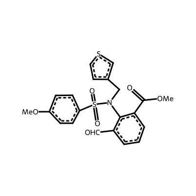 COC(=O)c1cccc(C=O)c1N(Cc1ccsc1)S(=O)(=O)c1ccc(OC)cc1